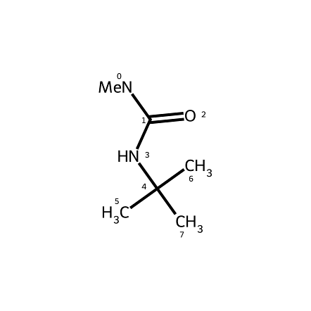 [CH2]NC(=O)NC(C)(C)C